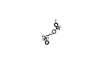 O=S(=O)(c1ccccc1)N(F)CCCCN1CCC(c2noc3cc(F)ccc23)CC1